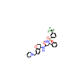 O=C(CC(NS(=O)(=O)c1cccc(C(F)(F)F)c1)c1ccccc1)NC1CCOc2cc(CN3CC=CCC3)ccc21